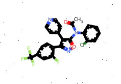 CC(=O)N(c1ccccc1Cl)c1onc(-c2ccc(C(F)(F)F)cc2F)c1-c1ccncc1